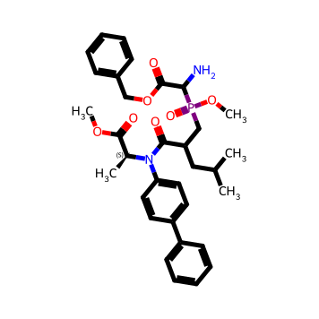 COC(=O)[C@H](C)N(C(=O)C(CC(C)C)CP(=O)(OC)C(N)C(=O)OCc1ccccc1)c1ccc(-c2ccccc2)cc1